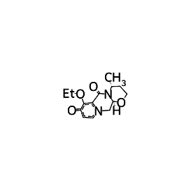 CCOc1c2n(ccc1=O)C[C@@H]1OCC[C@@H](C)N1C2=O